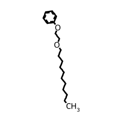 CCCCCCCCCCCOCCOc1ccccc1